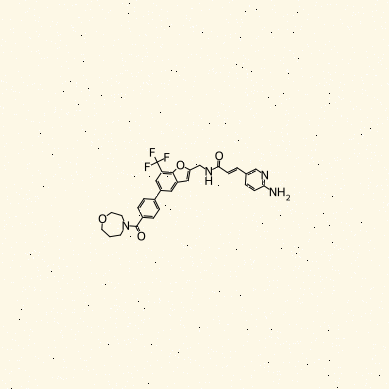 Nc1ccc(C=CC(=O)NCc2cc3cc(-c4ccc(C(=O)N5CCCOCC5)cc4)cc(C(F)(F)F)c3o2)cn1